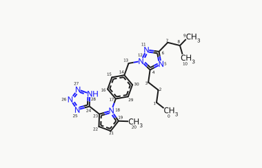 CCCCc1nc(CC(C)C)nn1Cc1ccc(-n2c(C)ccc2-c2nnn[nH]2)cc1